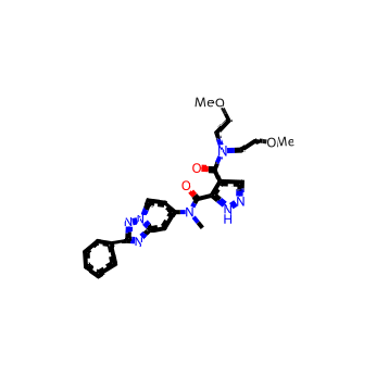 COCCN(CCOC)C(=O)c1cn[nH]c1C(=O)N(C)c1ccn2nc(-c3ccccc3)nc2c1